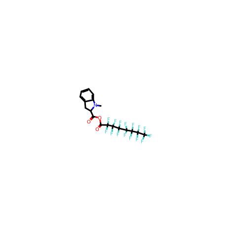 CN1c2ccccc2CC1C(=O)OC(=O)C(F)(F)C(F)(F)C(F)(F)C(F)(F)C(F)(F)C(F)(F)C(F)(F)F